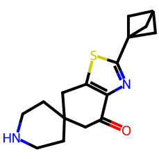 O=C1CC2(CCNCC2)Cc2sc(C34CC(C3)C4)nc21